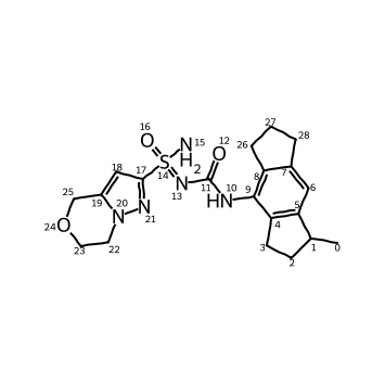 CC1CCc2c1cc1c(c2NC(=O)N=S(N)(=O)c2cc3n(n2)CCOC3)CCC1